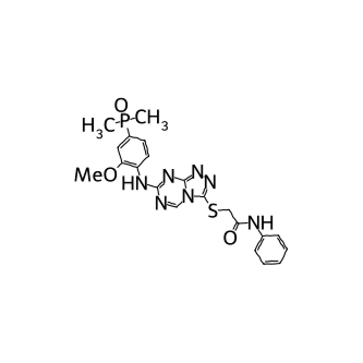 COc1cc(P(C)(C)=O)ccc1Nc1ncn2c(SCC(=O)Nc3ccccc3)nnc2n1